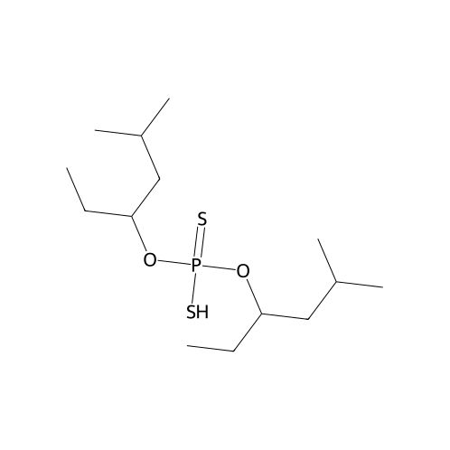 CCC(CC(C)C)OP(=S)(S)OC(CC)CC(C)C